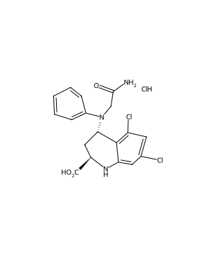 Cl.NC(=O)CN(c1ccccc1)[C@H]1C[C@H](C(=O)O)Nc2cc(Cl)cc(Cl)c21